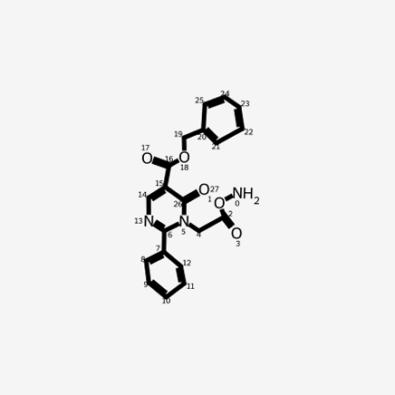 NOC(=O)Cn1c(-c2ccccc2)ncc(C(=O)OCc2ccccc2)c1=O